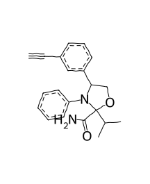 C#Cc1cccc(C2COC(C(N)=O)(C(C)C)N2c2ccccc2)c1